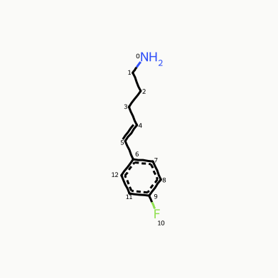 NCCCC=Cc1ccc(F)cc1